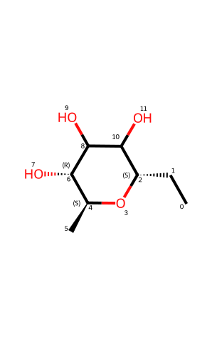 CC[C@@H]1O[C@@H](C)[C@H](O)C(O)C1O